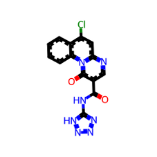 O=C(Nc1nnn[nH]1)c1cnc2cc(Cl)c3ccccc3n2c1=O